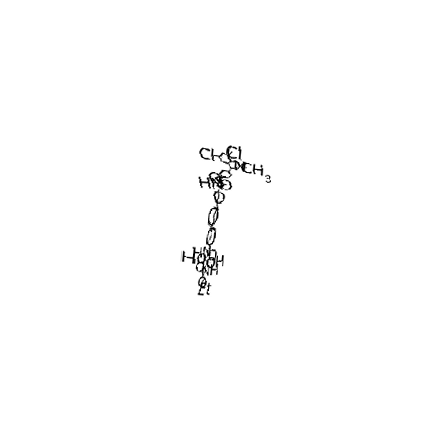 CCOCCNC(=O)[C@@H](O)[C@H](O)C(=O)NCCOCCOCCOCCNS(=O)(=O)c1ccc([C@@H]2CN(C)Cc3c(Cl)cc(Cl)cc32)cc1